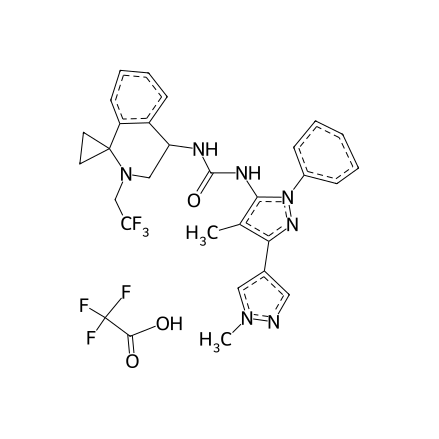 Cc1c(-c2cnn(C)c2)nn(-c2ccccc2)c1NC(=O)NC1CN(CC(F)(F)F)C2(CC2)c2ccccc21.O=C(O)C(F)(F)F